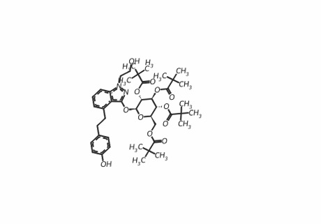 CC(C)(C)C(=O)OC[C@H]1O[C@@H](Oc2nn(CCO)c3cccc(CCc4ccc(O)cc4)c23)[C@H](OC(=O)C(C)(C)C)[C@@H](OC(=O)C(C)(C)C)[C@@H]1OC(=O)C(C)(C)C